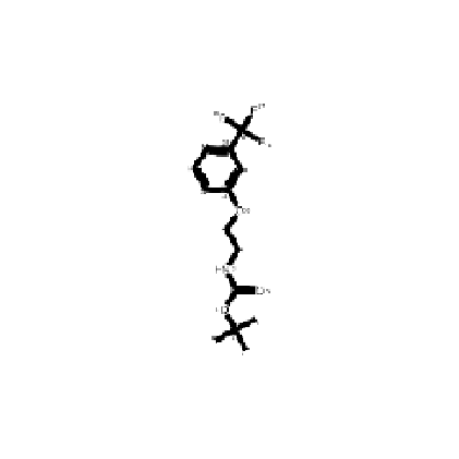 CC(C)(C)OC(=O)NCCOc1cccc(C(F)(F)F)c1